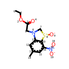 CCOC(=O)CN1C[S+]([O-])c2c1cc(C)cc2[N+](=O)[O-]